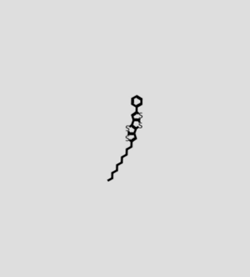 CCCCCCCCCCc1cc2c(s1)sc1c3cc(-c4ccccc4)sc3sc21